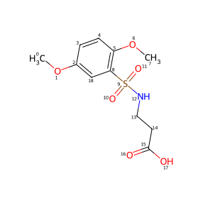 COc1ccc(OC)c(S(=O)(=O)NCCC(=O)O)c1